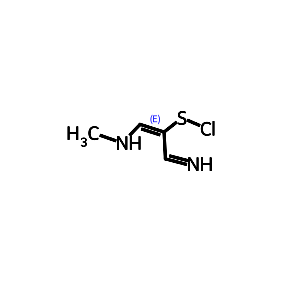 CN/C=C(\C=N)SCl